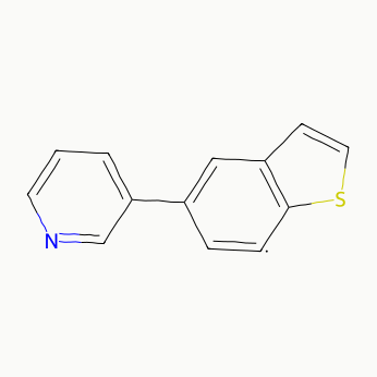 [c]1cc(-c2cccnc2)cc2ccsc12